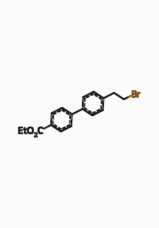 CCOC(=O)c1ccc(-c2ccc(CCBr)cc2)cc1